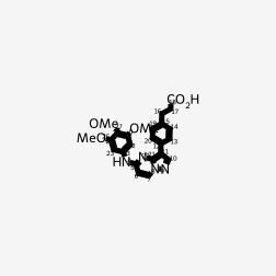 COc1cc(Nc2ccn3ncc(-c4ccc(CCC(=O)O)cc4)c3n2)cc(OC)c1OC